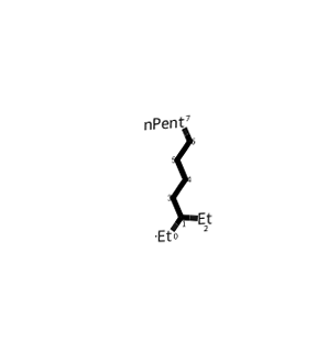 C[CH]C(CC)CCCCCCCCC